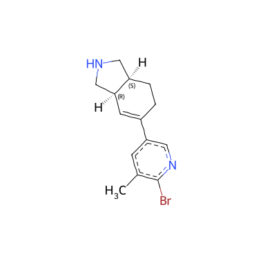 Cc1cc(C2=C[C@H]3CNC[C@H]3CC2)cnc1Br